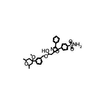 COC1(c2cccc(COC(O)Cc3nc(-c4ccccc4)c(-c4ccc(S(N)(=O)=O)cc4)o3)c2)CC(C)OC(C)C1